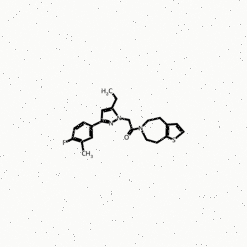 CCc1cc(-c2ccc(F)c(C)c2)nn1CC(=O)N1CCc2ccsc2CC1